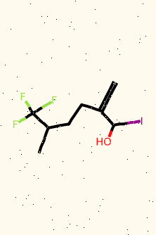 C=C(CCC(C)C(F)(F)F)C(O)I